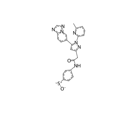 Cc1cccc(-n2nc(CC(=O)Nc3ccc([S+](C)[O-])cc3)cc2-c2ccc3ncnn3c2)n1